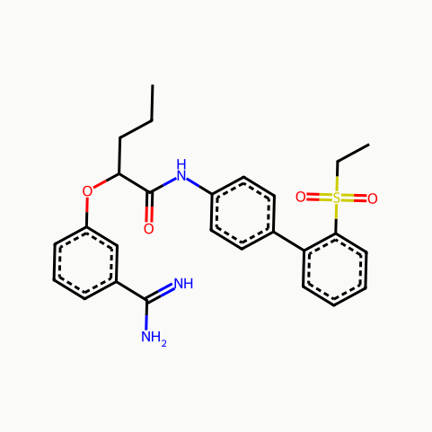 CCCC(Oc1cccc(C(=N)N)c1)C(=O)Nc1ccc(-c2ccccc2S(=O)(=O)CC)cc1